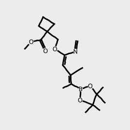 C=N/C(=C\C(C)=C(/C)B1OC(C)(C)C(C)(C)O1)OCC1(C(=O)OC)CCC1